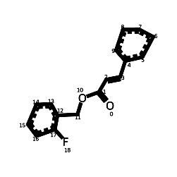 O=C(/C=C/c1ccccc1)OCc1ccccc1F